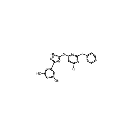 Oc1cc(O)cc(-c2n[nH]c(Sc3cc(Cl)nc(Sc4ccccc4)n3)n2)c1